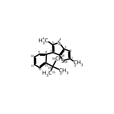 Cc1cc2sc(C)c(-c3ccccc3C(C)(C)C)c2s1